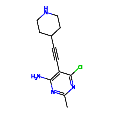 Cc1nc(N)c(C#CC2CCNCC2)c(Cl)n1